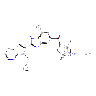 COc1cc(C(=O)N2C[C@H]3C[C@H](OCC#N)[C@@H]2[C@@H]3N)cc2nc(-c3cc4cccnc4n3CC3CC3)n(C)c12